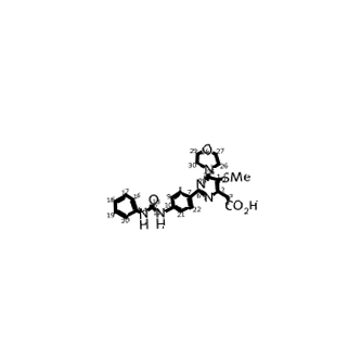 CSc1c(CC(=O)O)nc(-c2ccc(NC(=O)Nc3ccccc3)cc2)nc1N1CCOCC1